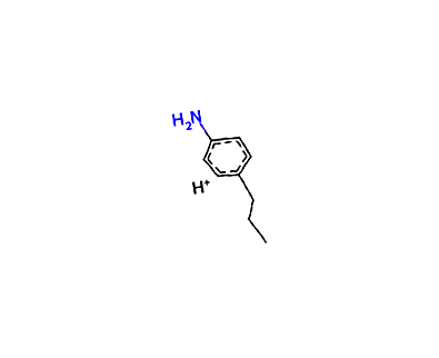 CCCc1ccc(N)cc1.[H+]